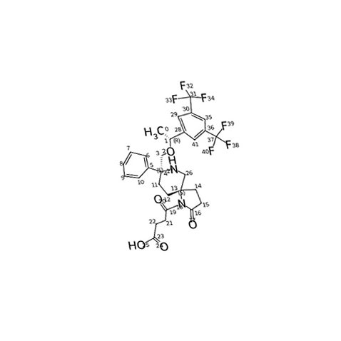 C[C@@H](OC[C@@]1(c2ccccc2)CC[C@]2(CCC(=O)N2C(=O)CCC(=O)O)CN1)c1cc(C(F)(F)F)cc(C(F)(F)F)c1